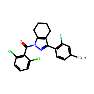 O=C(O)c1ccc(-c2nn(C(=O)c3c(Cl)cccc3Cl)c3c2CCCC3)c(F)c1